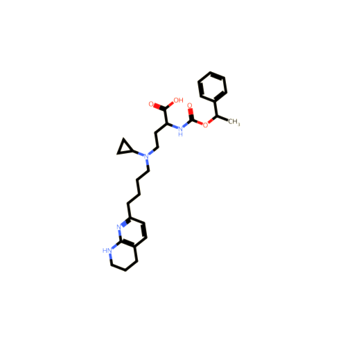 CC(OC(=O)NC(CCN(CCCCc1ccc2c(n1)NCCC2)C1CC1)C(=O)O)c1ccccc1